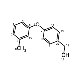 Cc1cccc(Oc2ccc(CO)cc2)c1